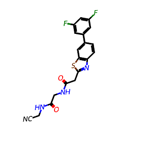 N#CCNC(=O)CNC(=O)Cc1nc2ccc(-c3cc(F)cc(F)c3)cc2s1